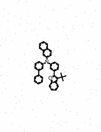 CC(C)(C)c1c(-c2cccc(N(c3cccc(-c4ccccc4)c3)c3ccc4ccccc4c3)c2)oc2ccccc12